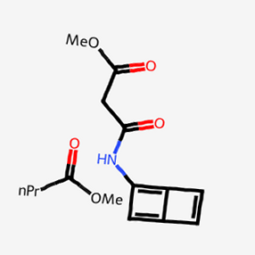 CCCC(=O)OC.COC(=O)CC(=O)Nc1cc2ccc1-2